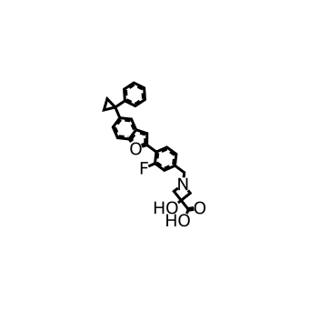 O=C(O)C1(O)CN(Cc2ccc(-c3cc4cc(C5(c6ccccc6)CC5)ccc4o3)c(F)c2)C1